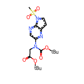 CC(C)(C)OC(=O)CN(C(=O)OC(C)(C)C)c1cnc2c(ccn2S(C)(=O)=O)n1